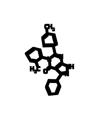 Cc1ccc(-c2nc3[nH]nc(-c4ccccc4)c3c(=O)n2-c2ccccc2C)cc1